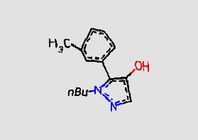 CCCCn1ncc(O)c1-c1cccc(C)c1